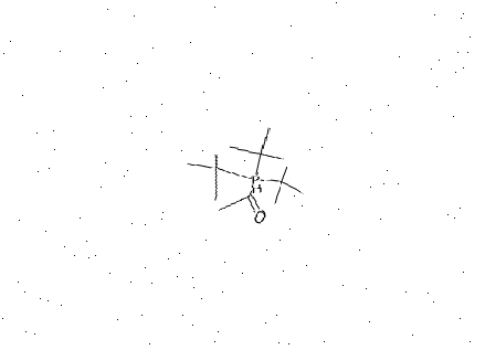 CC(=O)[PH](C(C)(C)C)(C(C)(C)C)C(C)(C)C